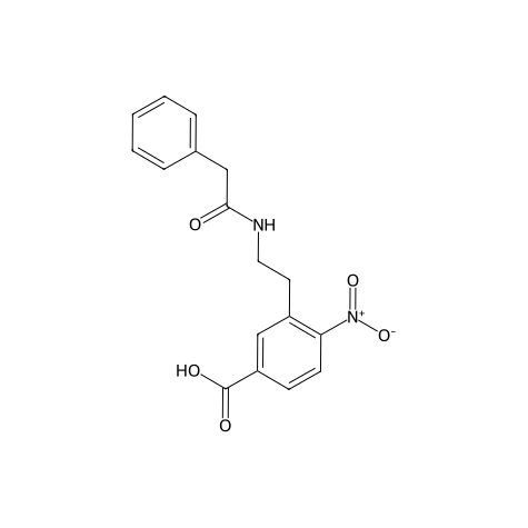 O=C(Cc1ccccc1)NCCc1cc(C(=O)O)ccc1[N+](=O)[O-]